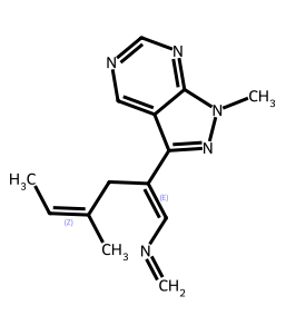 C=N/C=C(\C/C(C)=C\C)c1nn(C)c2ncncc12